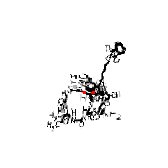 CC[C@H](C)[C@@H]1NC(=O)CNC(=O)[C@H]2Cc3c([nH]c4cc(OCCCCCCON5C(=O)c6ccccc6C5=O)ccc34)SC[C@H](NC(=O)CNC1=O)C(=O)N[C@@H](CC(N)=O)C(=O)N1C[C@H](O)C[C@H]1C(=O)N[C@@H]([C@@H](C)[C@@H](O)CO)C(=O)N2